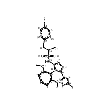 COc1cccc(OC)c1-n1c(NS(=O)(=O)[C@H](C)Cc2ncc(F)cn2)nnc1-c1cc(C)no1